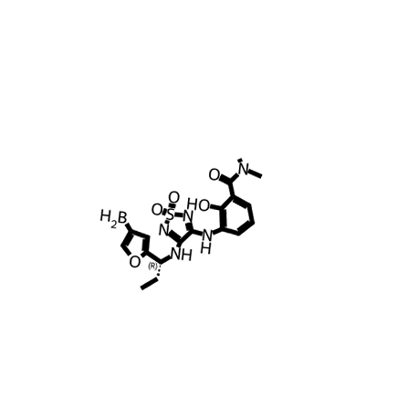 Bc1coc([C@@H](CC)NC2=NS(=O)(=O)N=C2Nc2cccc(C(=O)N(C)C)c2O)c1